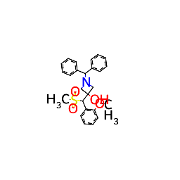 COc1ccccc1C(C1(O)CN(C(c2ccccc2)c2ccccc2)C1)S(C)(=O)=O